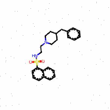 O=S(=O)(NCCN1CCC(Cc2ccccc2)CC1)c1cccc2ccccc12